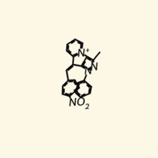 Cc1nn(-c2ccccc2)c2c1-[n+]1ccccc1/C2=C/c1ccc([N+](=O)[O-])cc1